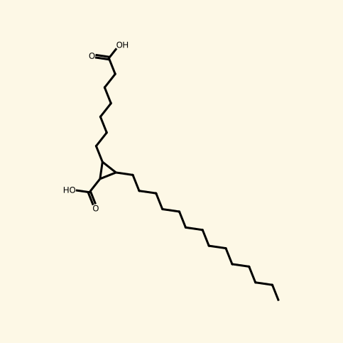 CCCCCCCCCCCCCCC1C(CCCCCCC(=O)O)C1C(=O)O